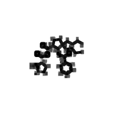 CCCCC1(CCCC)CCC(C(=O)OC(=O)[C@@H]2CCCN2)C1SC(=O)c1ccccc1